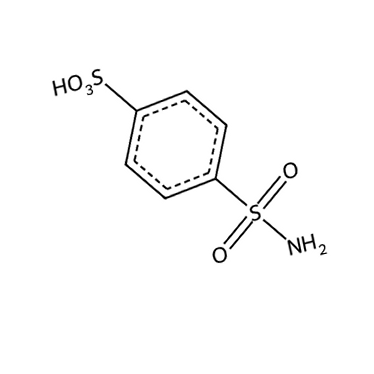 NS(=O)(=O)c1ccc(S(=O)(=O)O)cc1